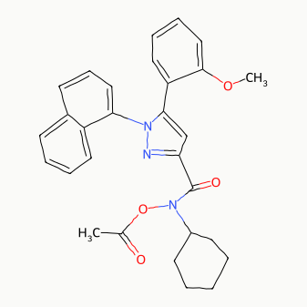 COc1ccccc1-c1cc(C(=O)N(OC(C)=O)C2CCCCC2)nn1-c1cccc2ccccc12